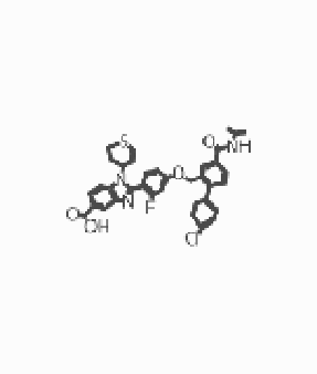 CC(C)NC(=O)c1ccc(-c2ccc(Cl)cc2)c(COc2ccc(-c3nc4cc(C(=O)O)ccc4n3C3CCSCC3)c(F)c2)c1